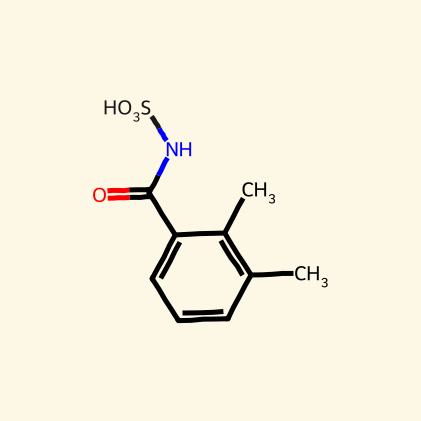 Cc1cccc(C(=O)NS(=O)(=O)O)c1C